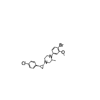 COc1cc(N2CCN([C@@H]3C[C@H]3c3ccc(Cl)cc3)CC2C)ccc1Br